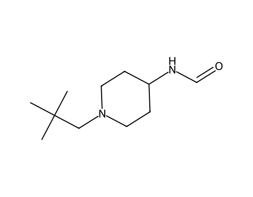 CC(C)(C)CN1CCC(NC=O)CC1